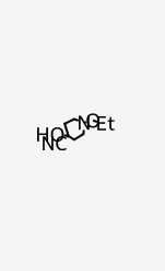 CCON1CCC(O)(C#N)CC1